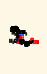 CN(C[C@H](O)CNC(C)(C)Cc1ccc2ccccc2c1)S(=O)(=O)c1ccc(-c2cccc(/C=C/C(=O)O)c2)cc1